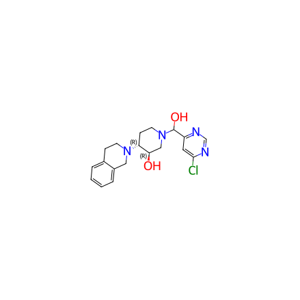 OC(c1cc(Cl)ncn1)N1CC[C@@H](N2CCc3ccccc3C2)[C@H](O)C1